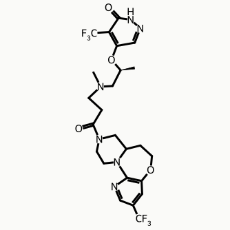 C[C@@H](CN(C)CCC(=O)N1CCN2c3ncc(C(F)(F)F)cc3OCCC2C1)Oc1cn[nH]c(=O)c1C(F)(F)F